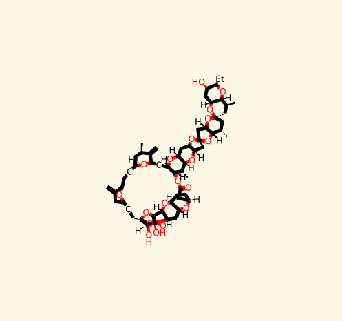 C=C1CC2CC[C@@]34OC5[C@H]6O[C@H](CC[C@@H]6O[C@H]6C(O3)[C@](O)(O[C@@H]56)[C@H]4O)CC(=O)O[C@@H]3[C@@H](C)[C@@H]4O[C@@H]5C[C@]6(C[C@@H]7O[C@]8(C[C@H](C)[C@@H]9O[C@H](CC)[C@H](O)C[C@@H]9O8)C[C@H](C)[C@@H]7O6)OC5C[C@@H]4O[C@H]3CC3O[C@@H](CCC1O2)C[C@@H](C)C3=C